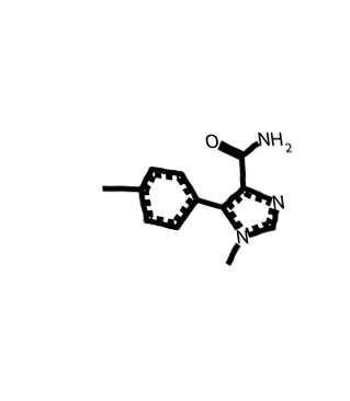 Cc1ccc(-c2c(C(N)=O)ncn2C)cc1